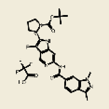 Cc1nn(C)c2cc(C(=O)Nc3cc4[nH]c([C@H]5CCCN5C(=O)OC(C)(C)C)c(F)c4cn3)ccc12.O=C(O)C(F)(F)F